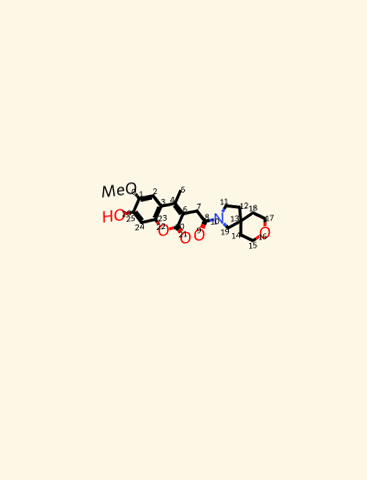 COc1cc2c(C)c(CC(=O)N3CCC4(CCOCC4)C3)c(=O)oc2cc1O